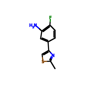 Cc1nc(-c2ccc(F)c(N)c2)cs1